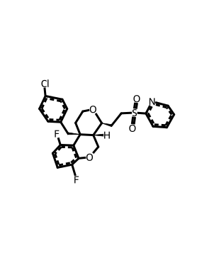 O=S(=O)(CC[C@@H]1OCC[C@@]2(Cc3ccc(Cl)cc3)c3c(F)ccc(F)c3OC[C@@H]12)c1ccccn1